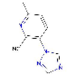 Cc1ccc(-n2cncn2)c(C#N)n1